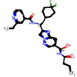 O=C(CCC(F)(F)F)N[C@H](O)c1cnn2cc([C@@H](NC(=O)c3ccnc(CC(F)(F)F)c3)C3CCC(F)(F)CC3)nc2c1